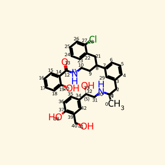 C[C@H](Cc1cccc(C(CCNC(=O)c2ccccc2O)Cc2ccccc2Cl)c1)NC[C@@H](O)c1ccc(O)c(CO)c1